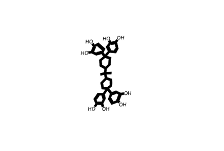 CC(C)(C1CCC(c2ccc(O)c(O)c2)(c2ccc(O)c(O)c2)CC1)C1CCC(c2ccc(O)c(O)c2)(c2ccc(O)c(O)c2)CC1